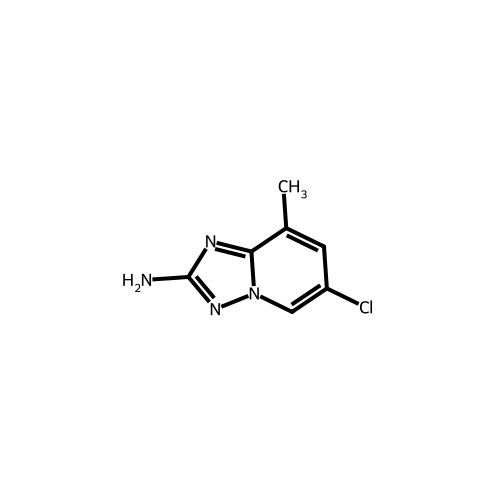 Cc1cc(Cl)cn2nc(N)nc12